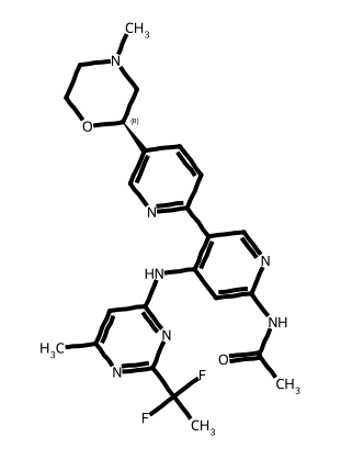 CC(=O)Nc1cc(Nc2cc(C)nc(C(C)(F)F)n2)c(-c2ccc([C@@H]3CN(C)CCO3)cn2)cn1